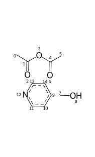 CC(=O)OC(C)=O.CO.c1ccncc1